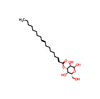 CCCCCCCCC=CCCCCCC=CC(=O)O[C@@H]1[C@@H](O)[C@@H](O)O[C@H](CO)[C@H]1O